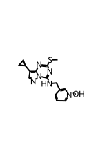 CSc1nc(NCc2ccc[n+](O)c2)n2ncc(C3CC3)c2n1